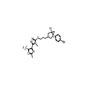 Cc1nc(-c2nnc(SCCCN3C[C@@H]4C[C@@]4(c4ccc(Br)cc4)C3)n2C)c(C(F)(F)F)o1